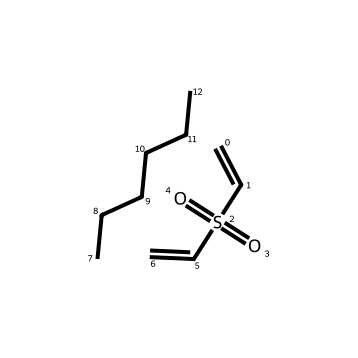 C=CS(=O)(=O)C=C.CCCCCC